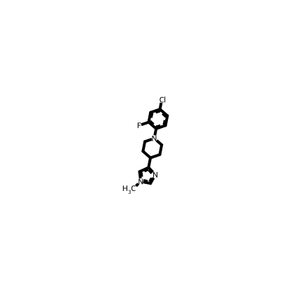 Cn1cnc(C2CCN(c3ccc(Cl)cc3F)CC2)c1